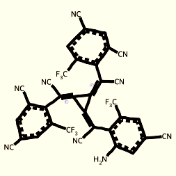 N#CC(=C1C(=C(\C#N)c2c(C#N)cc(C#N)cc2C(F)(F)F)/C1=C(\C#N)c1c(C#N)cc(C#N)cc1C(F)(F)F)c1c(N)cc(C#N)cc1C(F)(F)F